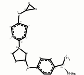 CC(=O)N[C@@H](C)c1ccc(OC2CCN(c3ccc(OC4CC4)cn3)C2)cc1